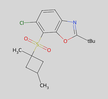 CC1CC(C)(S(=O)(=O)c2c(Cl)ccc3nc(C(C)(C)C)oc23)C1